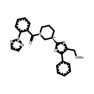 COCc1nc([C@@H]2CCCN(C(=O)c3ccccc3-n3nccn3)C2)oc1-c1ccccc1